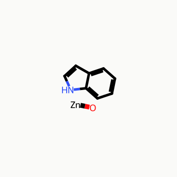 [O]=[Zn].c1ccc2[nH]ccc2c1